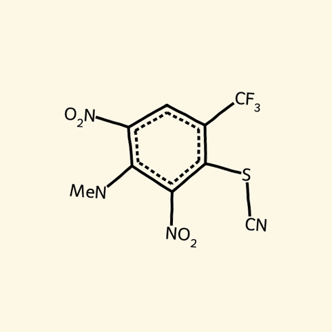 CNc1c([N+](=O)[O-])cc(C(F)(F)F)c(SC#N)c1[N+](=O)[O-]